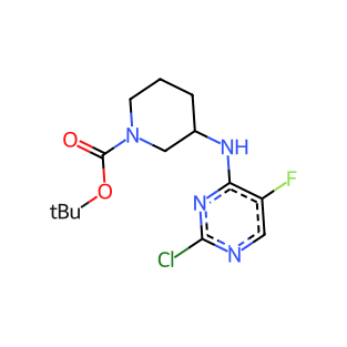 CC(C)(C)OC(=O)N1CCCC(Nc2nc(Cl)ncc2F)C1